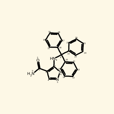 NC(=O)c1cn[nH]c1NC(c1ccccc1)(c1ccccc1)c1ccccc1